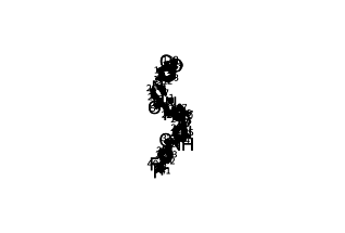 Br.Cn1c(C(=O)N2CCN(Cc3ccc4c(c3)OCO4)CC2)cc2cc(Oc3ccc(NC(=O)c4ccc(C(F)(F)F)cc4)cn3)ccc21